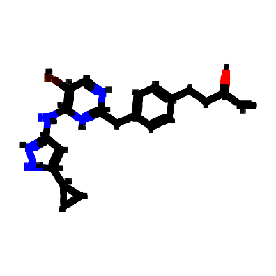 CNC(=O)CCc1ccc(Cc2ncc(Br)c(Nc3cc(C4CC4)[nH]n3)n2)cc1